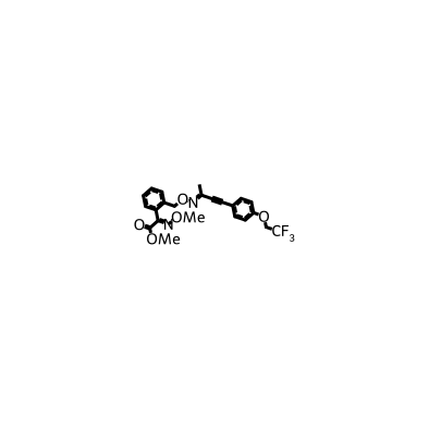 CO/N=C(/C(=O)OC)c1ccccc1CO/N=C(\C)C#Cc1ccc(OCC(F)(F)F)cc1